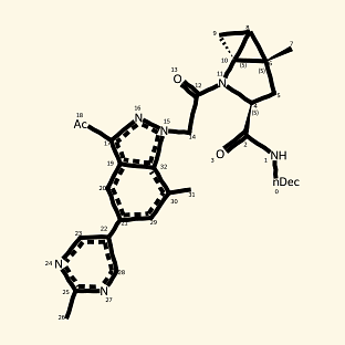 CCCCCCCCCCNC(=O)[C@@H]1C[C@@]2(C)C3C[C@]32N1C(=O)Cn1nc(C(C)=O)c2cc(-c3cnc(C)nc3)cc(C)c21